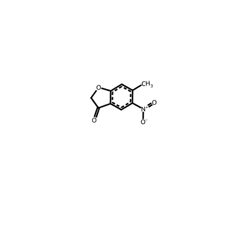 Cc1cc2c(cc1[N+](=O)[O-])C(=O)CO2